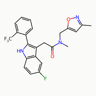 Cc1cc(CN(C)C(=O)Cc2c(-c3ccccc3C(F)(F)F)[nH]c3ccc(F)cc23)on1